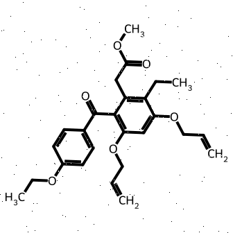 C=CCOc1cc(OCC=C)c(C(=O)c2ccc(OCC)cc2)c(CC(=O)OC)c1CC